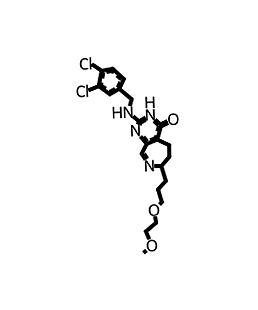 COCCOCCCC1CCc2c(nc(NCc3ccc(Cl)c(Cl)c3)[nH]c2=O)C=N1